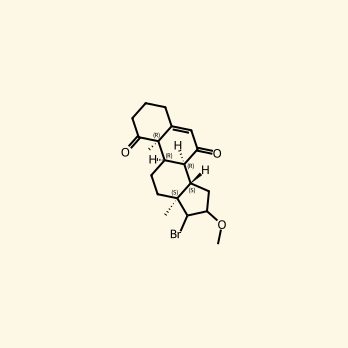 COC1C[C@H]2[C@@H]3C(=O)C=C4CCCC(=O)[C@]4(C)[C@@H]3CC[C@]2(C)C1Br